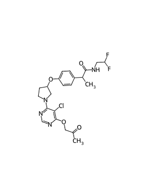 CC(=O)COc1ncnc(N2CCC(Oc3ccc(C(C)C(=O)NCC(F)F)cc3)C2)c1Cl